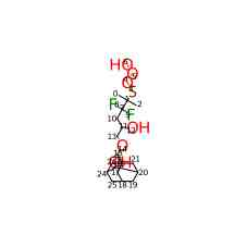 CC(C)(SOOO)C(F)(F)CC(O)COCC12CC3CC(C1)C(O)C(C3)C2